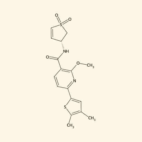 COc1nc(-c2cc(C)c(C)s2)ccc1C(=O)N[C@@H]1C=CS(=O)(=O)C1